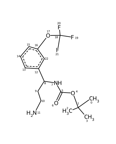 CC(C)(C)OC(=O)NC(CCN)c1cccc(OC(F)(F)F)c1